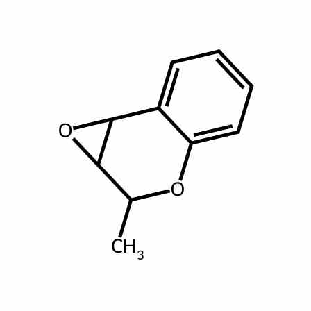 CC1Oc2ccccc2C2OC12